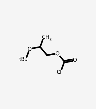 CC(COC(=O)Cl)OC(C)(C)C